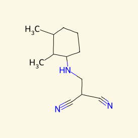 CC1CCCC(NCC(C#N)C#N)C1C